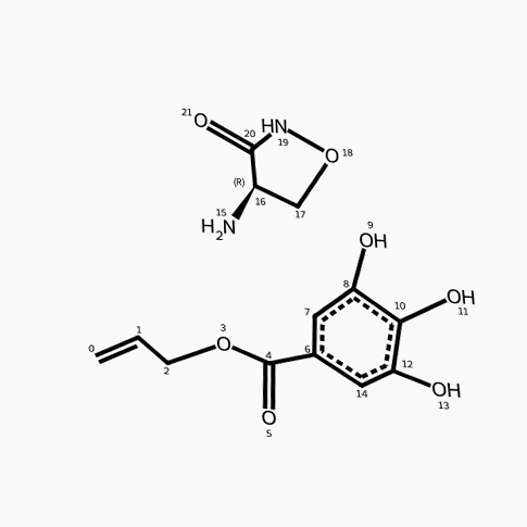 C=CCOC(=O)c1cc(O)c(O)c(O)c1.N[C@@H]1CONC1=O